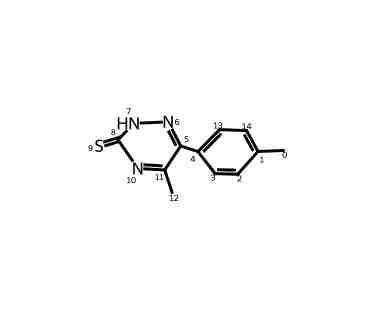 Cc1ccc(-c2n[nH]c(=S)nc2C)cc1